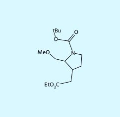 CCOC(=O)CC1CCN(C(=O)OC(C)(C)C)C1COC